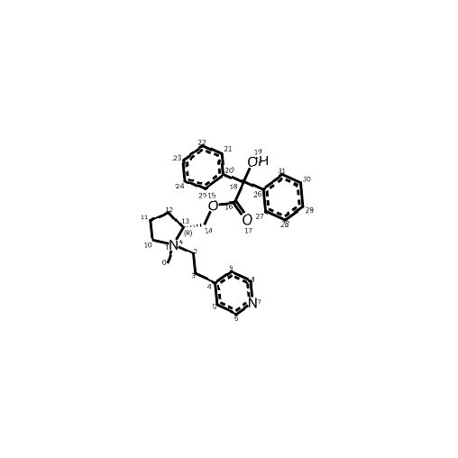 C[N+]1(CCc2ccncc2)CCC[C@@H]1COC(=O)C(O)(c1ccccc1)c1ccccc1